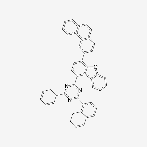 C1=CCC(c2nc(-c3cccc4c3CCC=C4)nc(-c3ccc(-c4ccc5ccc6ccccc6c5c4)c4oc5ccccc5c34)n2)C=C1